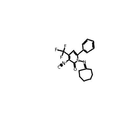 [C-]#[N+]c1c(C(F)(F)F)cc(-c2ccccc2)n(N=C2CCCCCC2)c1=O